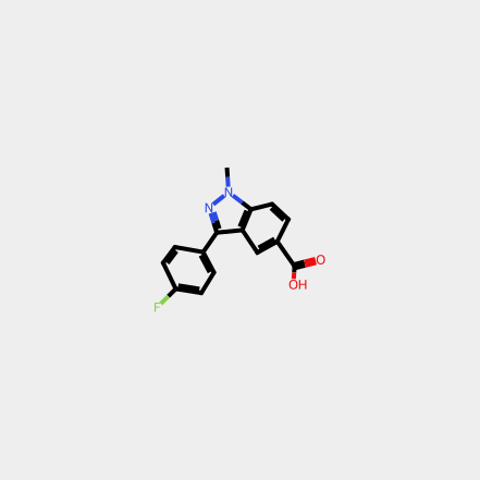 Cn1nc(-c2ccc(F)cc2)c2cc(C(=O)O)ccc21